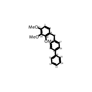 COc1c[c]c(Cc2ccc(-c3ccccc3)cc2)c(OC)c1OC